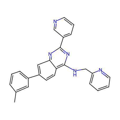 Cc1cccc(-c2ccc3c(NCc4ccccn4)nc(-c4cccnc4)nc3c2)c1